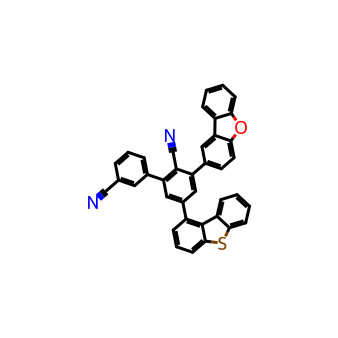 N#Cc1cccc(-c2cc(-c3cccc4sc5ccccc5c34)cc(-c3ccc4oc5ccccc5c4c3)c2C#N)c1